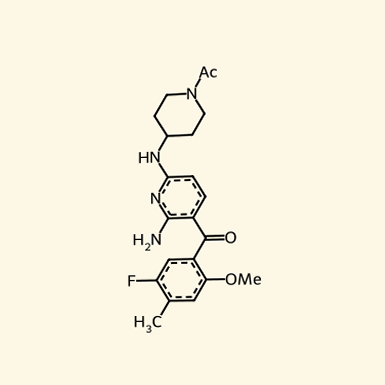 COc1cc(C)c(F)cc1C(=O)c1ccc(NC2CCN(C(C)=O)CC2)nc1N